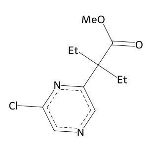 CCC(CC)(C(=O)OC)c1cncc(Cl)n1